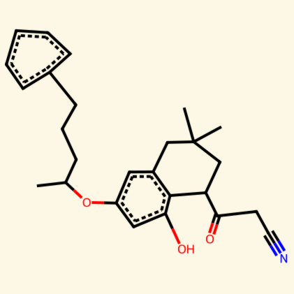 CC(CCCc1ccccc1)Oc1cc(O)c2c(c1)CC(C)(C)CC2C(=O)CC#N